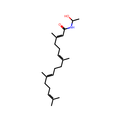 CC(C)=CCCC(C)=CCCC(C)=CCCC(C)=CC(=O)NC(C)O